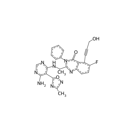 Cc1noc(-c2c(N)ncnc2NC(C)c2nc3ccc(F)c(C#CCO)c3c(=O)n2-c2ccccc2)n1